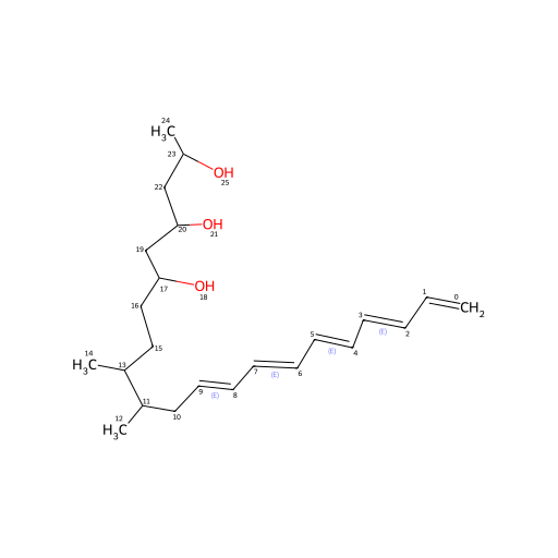 C=C/C=C/C=C/C=C/C=C/CC(C)C(C)CCC(O)CC(O)CC(C)O